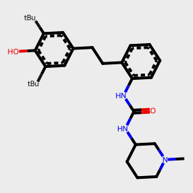 CN1CCCC(NC(=O)Nc2ccccc2CCc2cc(C(C)(C)C)c(O)c(C(C)(C)C)c2)C1